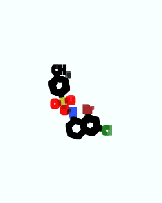 Cc1ccc(S(=O)(=O)O/N=C2\CCCc3cc(Cl)cc(Br)c32)cc1